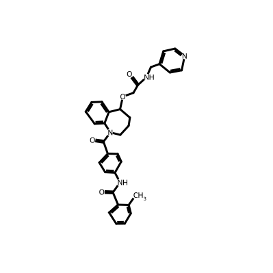 Cc1ccccc1C(=O)Nc1ccc(C(=O)N2CCCC(OCC(=O)NCc3ccncc3)c3ccccc32)cc1